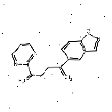 C=C(CCC(=C)c1ncccn1)c1ccc2[nH]ncc2c1